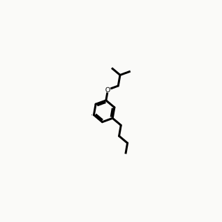 CCCCc1c[c]cc(OCC(C)C)c1